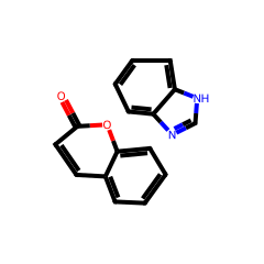 O=c1ccc2ccccc2o1.c1ccc2[nH]cnc2c1